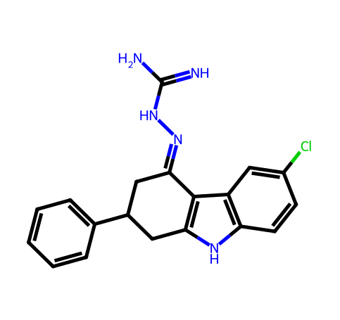 N=C(N)N/N=C1\CC(c2ccccc2)Cc2[nH]c3ccc(Cl)cc3c21